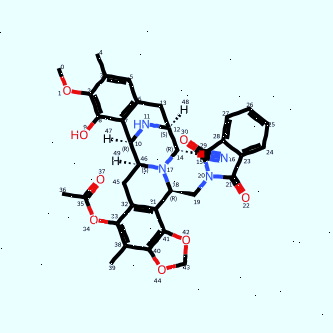 COc1c(C)cc2c(c1O)[C@H]1N[C@@H](C2)[C@H](C#N)N2[C@@H](CN3C(=O)c4ccccc4C3=O)c3c(c(OC(C)=O)c(C)c4c3OCO4)C[C@@H]12